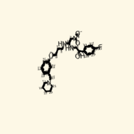 O=[N+]([O-])C=C(NCCCOc1cccc(CN2CCCCC2)c1)NCC(O)c1ccc(F)cc1